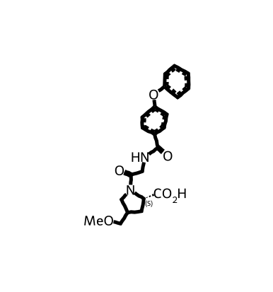 COCC1C[C@@H](C(=O)O)N(C(=O)CNC(=O)c2ccc(Oc3ccccc3)cc2)C1